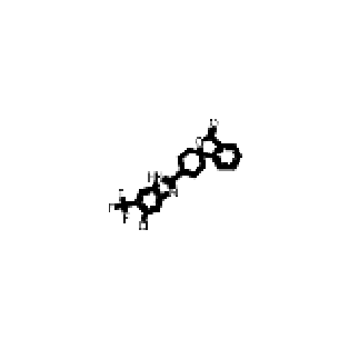 O=C1OC2(CCC(c3nc4cc(Cl)c(C(F)(F)F)cc4[nH]3)CC2)c2ccccc21